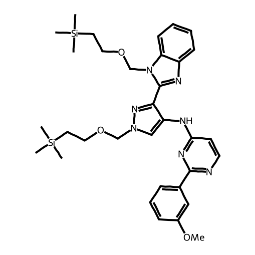 COc1cccc(-c2nccc(Nc3cn(COCC[Si](C)(C)C)nc3-c3nc4ccccc4n3COCC[Si](C)(C)C)n2)c1